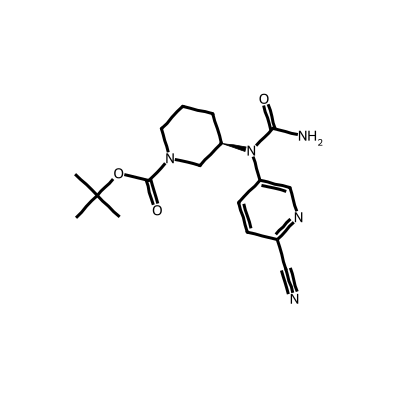 CC(C)(C)OC(=O)N1CCC[C@@H](N(C(N)=O)c2ccc(C#N)nc2)C1